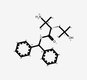 CC(C)(O)C[C@H](C(=O)OC(c1ccccc1)c1ccccc1)C(C)(C)N